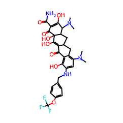 CN(C)c1cc(NCc2ccc(OC(F)(F)F)cc2)c(O)c2c1CC1CC3C(N(C)C)C(O)=C(C(N)=O)C(=O)C3(O)C(O)=C1C2=O